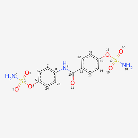 NS(=O)(=O)Oc1ccc(NC(=O)c2ccc(OS(N)(=O)=O)cc2)cc1